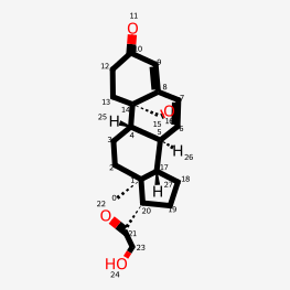 C[C@]12CC[C@H]3[C@@H](C=CC4=CC(=O)CC[C@@]43C=O)[C@@H]1CC[C@@H]2C(=O)CO